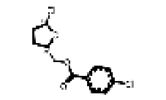 O=C(OC[C@@H]1CC[C@@H](Cl)O1)c1ccc(Cl)cc1